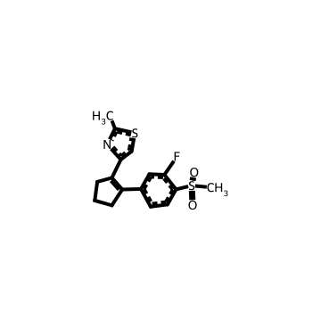 Cc1nc(C2=C(c3ccc(S(C)(=O)=O)c(F)c3)CCC2)cs1